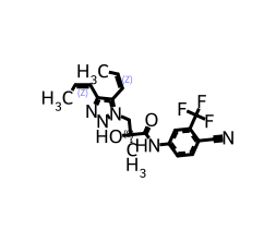 C/C=C\c1nnn(C[C@](C)(O)C(=O)Nc2ccc(C#N)c(C(F)(F)F)c2)c1/C=C\C